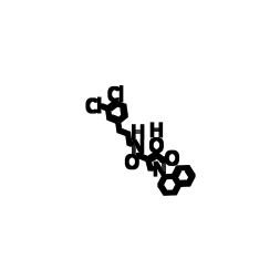 O=C(NCCCc1ccc(Cl)c(Cl)c1)C1=C(O)C(=O)N(C2CCCc3ccccc32)C1